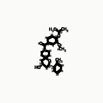 COc1cc(C(=O)N2CCC3(CC2)C[C@@H](O)C[C@@H](c2ccccc2C)O3)ccc1OC(C)C